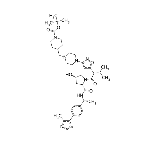 Cc1ncsc1-c1ccc([C@H](C)NC(=O)[C@@H]2C[C@@H](O)CN2C(=O)[C@H](c2cc(N3CCN(CC4CCN(C(=O)OC(C)(C)C)CC4)CC3)no2)C(C)C)cc1